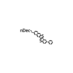 CCCCCCCCCCCCc1ccc2cc3sc4c5cc(-c6ccccc6)ccc5sc4c3cc2c1